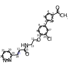 CC(=O)c1ccc(-c2ccc(OCCNC(=O)/C=C/c3cccnn3)c(Cl)c2)s1